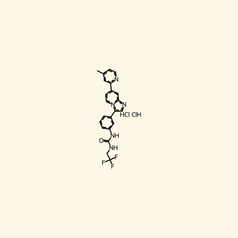 Cc1ccnc(-c2ccn3c(-c4cccc(NC(=O)NCC(F)(F)F)c4)cnc3c2)c1.Cl.Cl